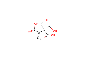 C=C(C(=O)O)C(CO)(CO)C(=O)O